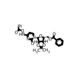 CC(C)C(=O)ONc1ccn([C@@H]2O[C@H](COC(=O)c3ccccc3)[C@H]3OC(C)(C)O[C@H]32)c(=O)n1